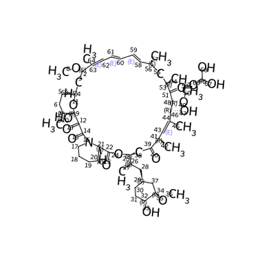 CO[C@H]1C[C@@H]2CC[C@@H](C)[C@@](O)(O2)C(=O)C(=O)N2CCCC[C@H]2C(=O)O[C@H]([C@H](C)C[C@@H]2CC[C@@H](O)[C@H](OC)C2)CC(=O)[C@H](C)/C=C(\C)[C@@H](O)[C@@H](OC)C(=O)[C@H](C)C[C@H](C)/C=C/C=C/C=C/1C.O=C(O)O